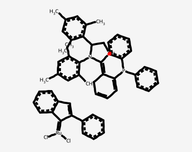 Cc1cc(C)c(C2CNC(=C3CC=CC=C3P(c3ccccc3)c3ccccc3)N2c2c(C)cc(C)cc2C)c(C)c1.[Cl][Ru]([Cl])=[C]1C(c2ccccc2)=Cc2ccccc21